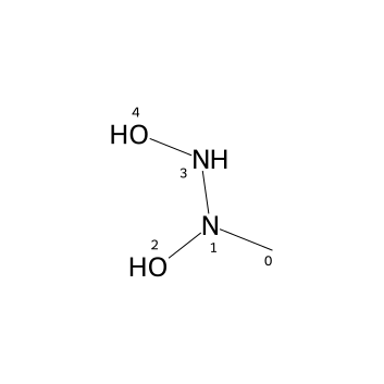 CN(O)NO